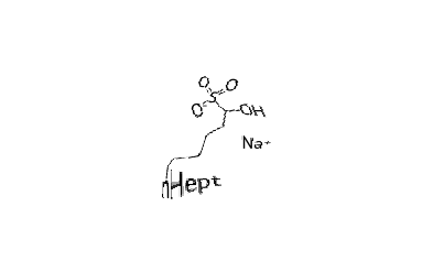 CCCCCCCCCCCC(O)S(=O)(=O)[O-].[Na+]